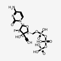 C#C[C@@]1(O)[C@@H](COP(=O)(O)OP(=O)(O)OP(=O)(O)O)O[C@@H](n2ccc(N)nc2=O)[C@@H]1F